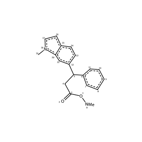 CNOC(=O)CC(c1ccccc1)c1ccc2ccn(C)c2c1